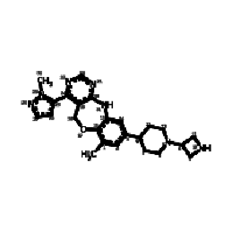 Cc1cc(C2CCN(C3CNC3)CC2)cc2c1OCc1c(ncnc1-c1ccnn1C)N2